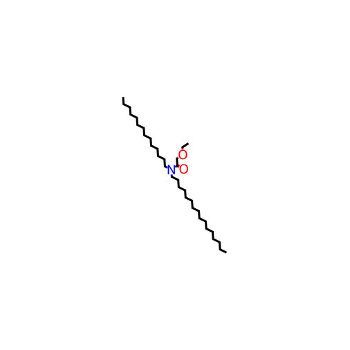 CCCCCCCCCCCCCCCCN(CCCCCCCCCCCCCC)C(=O)COCC